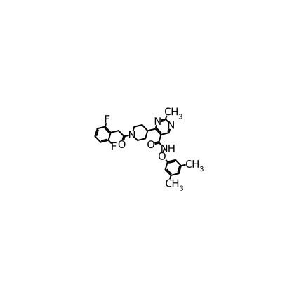 Cc1cc(C)cc(ONC(=O)c2cnc(C)nc2C2CCN(C(=O)Cc3c(F)cccc3F)CC2)c1